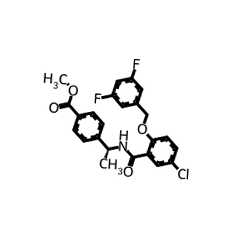 COC(=O)c1ccc([C@H](C)NC(=O)c2cc(Cl)ccc2OCc2cc(F)cc(F)c2)cc1